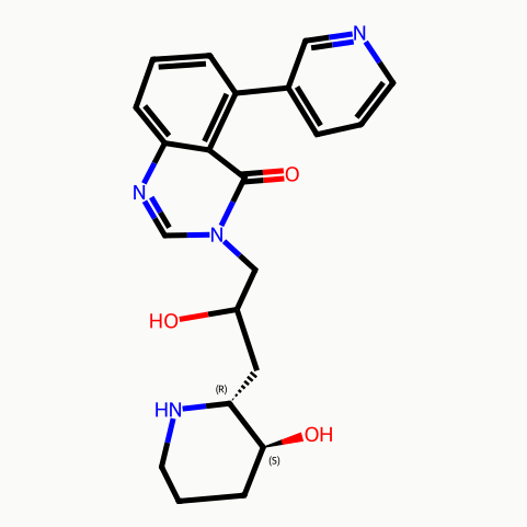 O=c1c2c(-c3cccnc3)cccc2ncn1CC(O)C[C@H]1NCCC[C@@H]1O